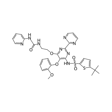 COc1ccccc1Oc1c(NS(=O)(=O)c2ccc(C(C)(C)C)s2)nc(-c2ncccn2)nc1OCCNC(=O)Nc1ccccn1